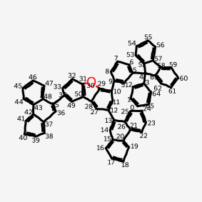 c1ccc(C2(c3cccc(-c4cc(-c5cc6ccccc6c6ccccc56)cc5c4oc4ccc(-c6cc7ccccc7c7ccccc67)cc45)c3)c3ccccc3-c3ccccc32)cc1